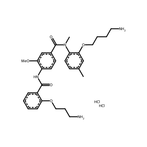 COc1cc(C(=O)N(C)c2ccc(C)cc2OCCCCN)ccc1NC(=O)c1ccccc1OCCCN.Cl.Cl